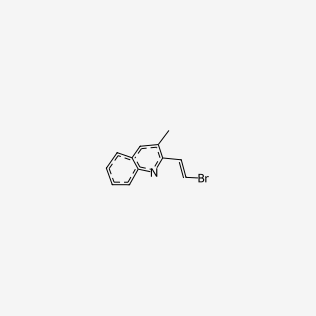 Cc1cc2ccccc2nc1C=CBr